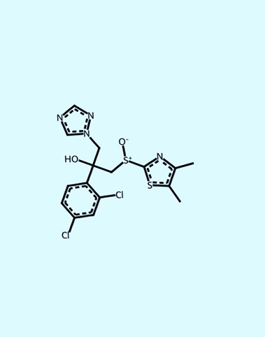 Cc1nc([S+]([O-])CC(O)(Cn2cncn2)c2ccc(Cl)cc2Cl)sc1C